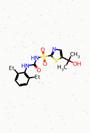 CCc1cccc(CC)c1NC(=O)NS(=O)(=O)c1ncc(C(C)(C)O)s1